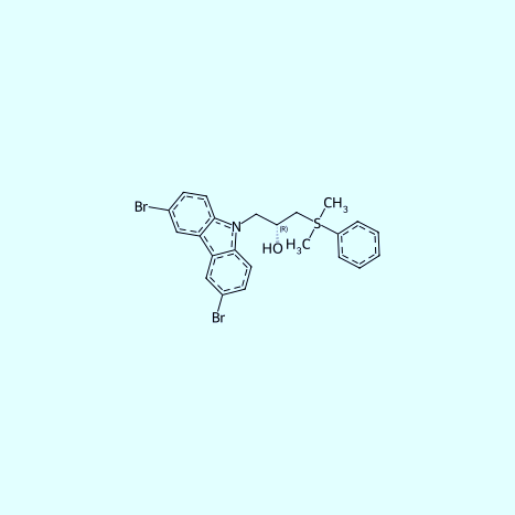 CS(C)(C[C@H](O)Cn1c2ccc(Br)cc2c2cc(Br)ccc21)c1ccccc1